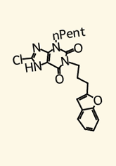 CCCCCn1c(=O)n(CCCc2cc3ccccc3o2)c(=O)c2[nH]c(Cl)nc21